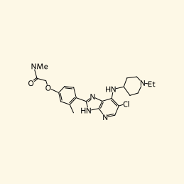 CCN1CCC(Nc2c(Cl)cnc3[nH]c(-c4ccc(OCC(=O)NC)cc4C)nc23)CC1